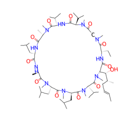 C/C=C/C[C@@H](C)[C@@H](O)[C@H]1C(=O)N[C@@H](CC)C(=O)N(C)CC(=O)N(C)[C@H](C(C)C)C(=O)N[C@@H](C(C)C)C(=O)N(C)[C@@H](C)C(=O)N[C@@H](CC(C)C)C(=O)N[C@H](C)C(=O)N(C)[C@@H](CC(C)C)C(=O)N(C)[C@H](CC(C)C)C(=O)N(C)[C@@H](C(C)C)C(=O)N1C